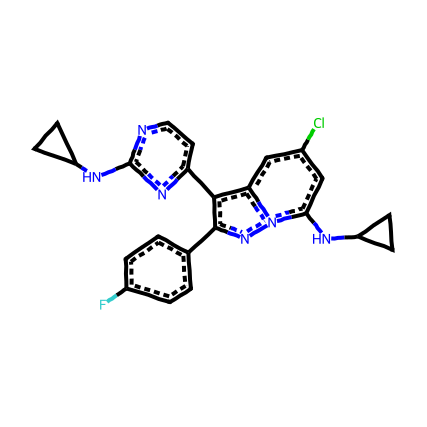 Fc1ccc(-c2nn3c(NC4CC4)cc(Cl)cc3c2-c2ccnc(NC3CC3)n2)cc1